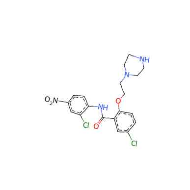 O=C(Nc1ccc([N+](=O)[O-])cc1Cl)c1cc(Cl)ccc1OCCN1CCNCC1